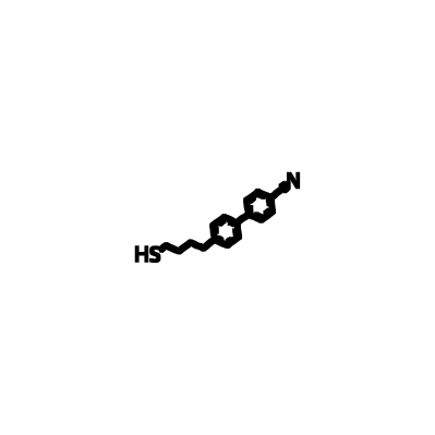 N#Cc1ccc(-c2ccc(CCCCS)cc2)cc1